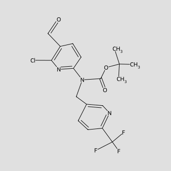 CC(C)(C)OC(=O)N(Cc1ccc(C(F)(F)F)nc1)c1ccc(C=O)c(Cl)n1